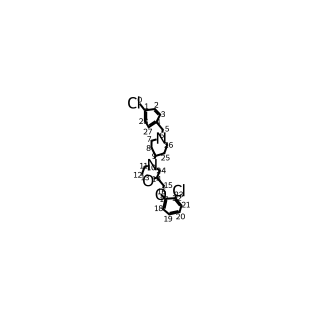 Clc1ccc(CN2CCC(N3CCOC(COc4ccccc4Cl)C3)CC2)cc1